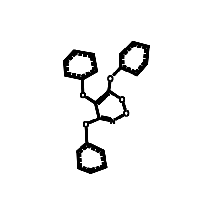 c1ccc(OC2=NOOC(Oc3ccccc3)=C2Oc2ccccc2)cc1